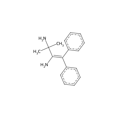 CC(C)(N)C(N)=C(c1ccccc1)c1ccccc1